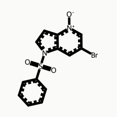 O=S(=O)(c1ccccc1)n1ccc2c1cc(Br)c[n+]2[O-]